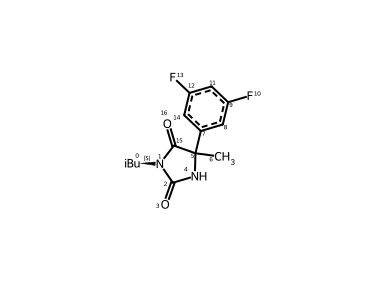 CC[C@H](C)N1C(=O)NC(C)(c2cc(F)cc(F)c2)C1=O